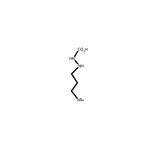 CCCCCCCNNC(=O)O